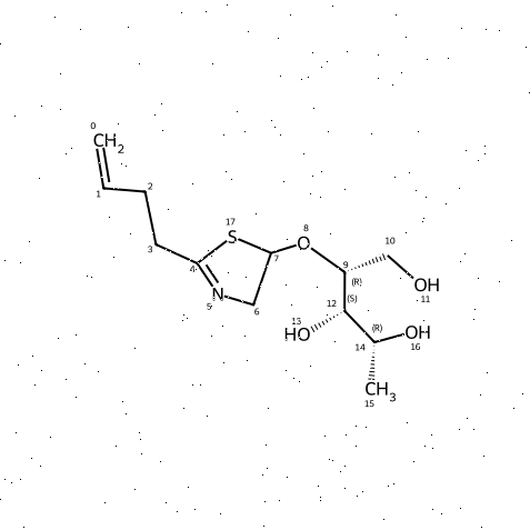 C=CCCC1=NCC(O[C@H](CO)[C@@H](O)[C@@H](C)O)S1